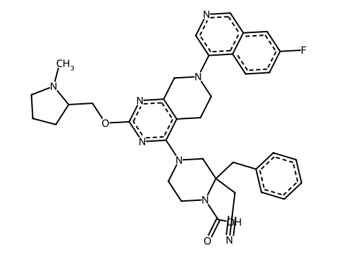 CN1CCCC1COc1nc2c(c(N3CCN(C(=O)O)C(CC#N)(Cc4ccccc4)C3)n1)CCN(c1cncc3cc(F)ccc13)C2